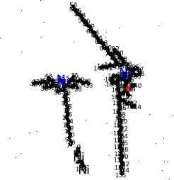 C=C[CH2][Ni][CH2]C=C.CCCCCCCCCCCCCCC=CC1=C(c2cc(C)c(CCCC)c(C)c2)[N+](=[N-])C(c2cc(C)c(CCCC)c(C)c2)=C1C.CCCCCCCCCCCCCCCCCCCCCC(=CC(CCCCC)CCc1ccccc1C1=CC(CCCC)=C(c2ccccc2CCC(C=C(CCCCC)CCCCCCCCCCCCCCCCCCCCC)CCCCC)[N+]1=[N-])CCCCC.[Ni]